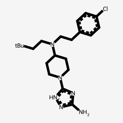 CC(C)(C)CCN(CCc1ccc(Cl)cc1)C1CCN(c2nc(N)n[nH]2)CC1